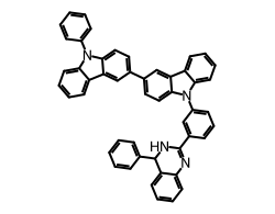 c1ccc(C2NC(c3cccc(-n4c5ccccc5c5cc(-c6ccc7c(c6)c6ccccc6n7-c6ccccc6)ccc54)c3)=Nc3ccccc32)cc1